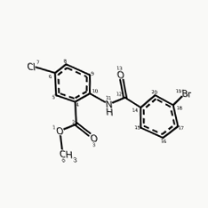 COC(=O)c1cc(Cl)ccc1NC(=O)c1cccc(Br)c1